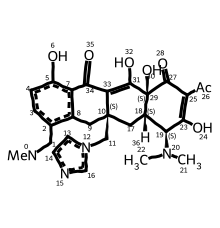 CNCc1ccc(O)c2c1C[C@@]1(Cn3ccnc3)C[C@H]3[C@H](N(C)C)C(O)=C(C(C)=O)C(=O)[C@@]3(O)C(O)=C1C2=O